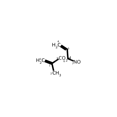 C=C(C)C(=O)O.C=CCN=O